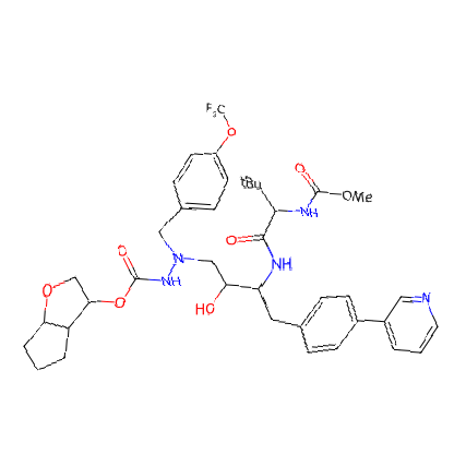 COC(=O)NC(C(=O)NC(Cc1ccc(-c2cccnc2)cc1)C(O)CN(Cc1ccc(OC(F)(F)F)cc1)NC(=O)OC1COC2CCCC21)C(C)(C)C